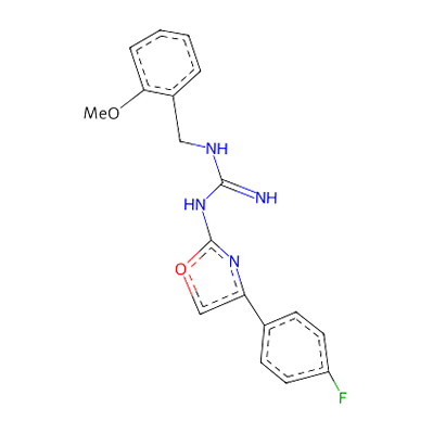 COc1ccccc1CNC(=N)Nc1nc(-c2ccc(F)cc2)co1